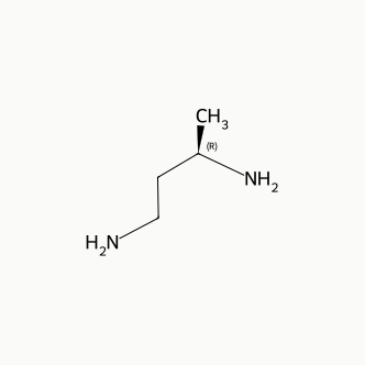 C[C@@H](N)CCN